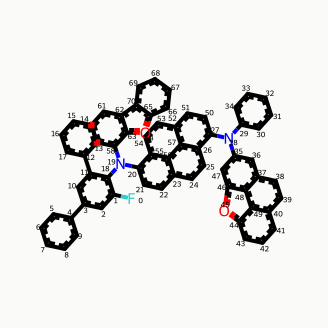 Fc1cc(-c2ccccc2)cc(-c2ccccc2)c1N(c1ccc2ccc3c(N(c4ccccc4)c4cc5ccc6cccc7oc(c4)c5c67)ccc4ccc1c2c43)c1cccc2c1oc1ccccc12